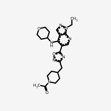 CCn1ncc2c(NC3CCOCC3)c(-c3nc(CC4CCN(C(C)=O)CC4)no3)cnc21